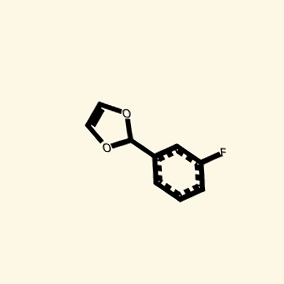 Fc1cccc(C2OC=CO2)c1